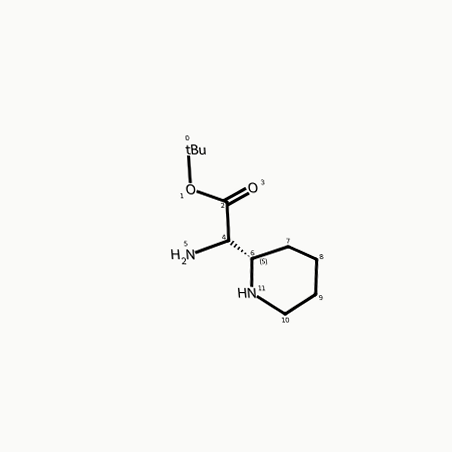 CC(C)(C)OC(=O)C(N)[C@@H]1CCCCN1